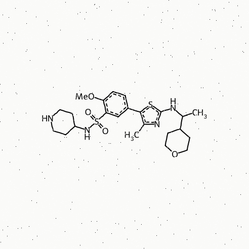 COc1ccc(-c2sc(NC(C)C3CCOCC3)nc2C)cc1S(=O)(=O)NC1CCNCC1